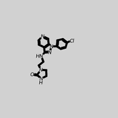 O=C1NCCN1CCNc1nn(-c2ccc(Cl)cc2)c2cnccc12